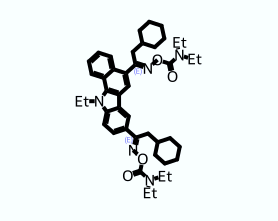 CCN(CC)C(=O)O/N=C(\CC1CCCCC1)c1ccc2c(c1)c1cc(/C(CC3CCCCC3)=N/OC(=O)N(CC)CC)c3ccccc3c1n2CC